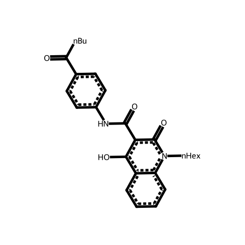 CCCCCCn1c(=O)c(C(=O)Nc2ccc(C(=O)CCCC)cc2)c(O)c2ccccc21